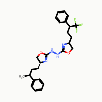 CC(CC[C@H]1COC(NNC2=NC(CCC(c3ccccc3)C(F)(F)F)CO2)=N1)c1ccccc1